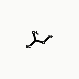 C[CH]OC(C)C#N